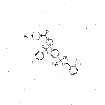 CC(=O)N1CCN(C(=O)N2CC[C@](c3ccc(C(OCc4ccccc4C(F)(F)F)(C(F)(F)F)C(F)(F)F)cc3)(S(=O)(=O)c3ccc(F)cc3)C2)CC1